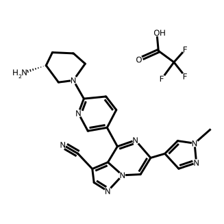 Cn1cc(-c2cn3ncc(C#N)c3c(-c3ccc(N4CCC[C@@H](N)C4)nc3)n2)cn1.O=C(O)C(F)(F)F